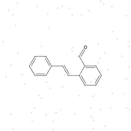 O=[C]c1ccccc1C=Cc1ccccc1